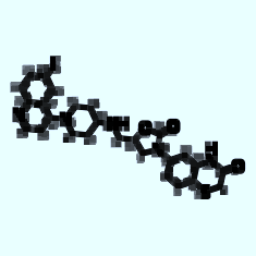 O=C1CSc2ccc(N3CC(CNC4CCN(c5ccnc6ccc(F)cc56)CC4)OC3=O)cc2N1